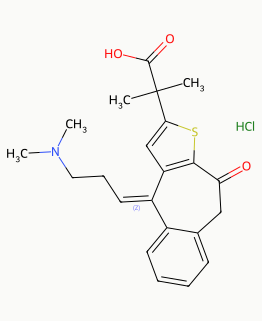 CN(C)CC/C=C1/c2ccccc2CC(=O)c2sc(C(C)(C)C(=O)O)cc21.Cl